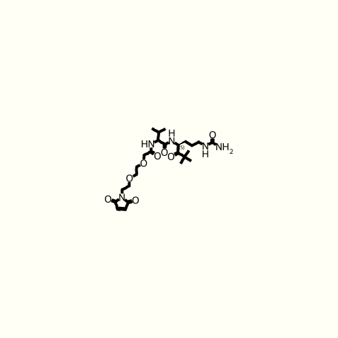 CC(C)C(NC(=O)COCCOCCN1C(=O)C=CC1=O)C(=O)N[C@@H](CCCNC(N)=O)C(=O)C(C)(C)C